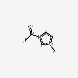 C[n+]1ccn(C(=O)I)c1